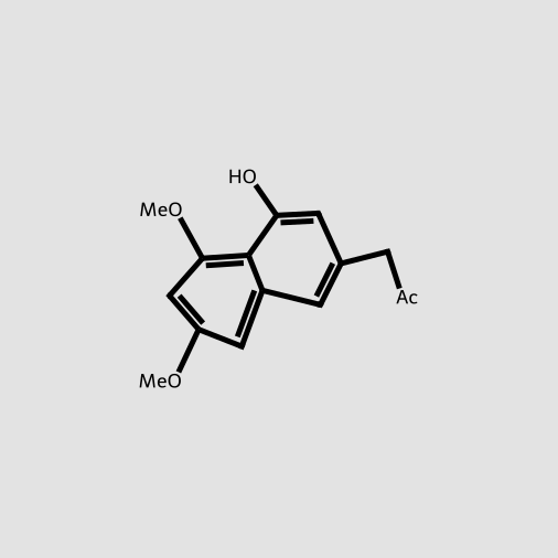 COc1cc(OC)c2c(O)cc(CC(C)=O)cc2c1